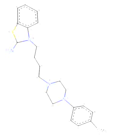 COc1ccc(N2CCN(CCCCN3c4ccccc4SC3N)CC2)cc1